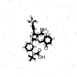 CC(C)(C)N(C(=O)O)[C@@H]1CCCN(c2nc(C#C[Si](C)(C)C)c(C(N)=O)n2Cc2ccccc2Cl)C1